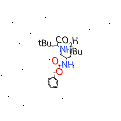 CC(C)(C)C[C@H](CN[C@@H](CC(C)(C)C)C(=O)O)NC(=O)OCc1ccccc1